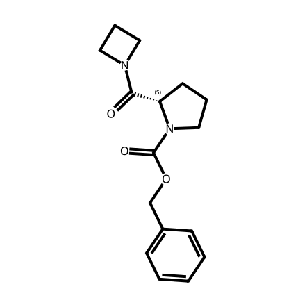 O=C([C@@H]1CCCN1C(=O)OCc1ccccc1)N1CCC1